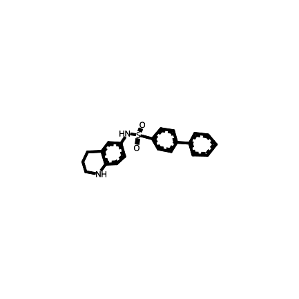 O=S(=O)(Nc1ccc2c(c1)CCCN2)c1ccc(-c2ccccc2)cc1